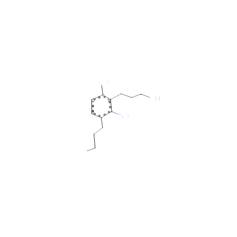 CCCCc1ccc(C)c(CCCC)c1N